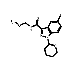 COCNC(=O)c1nn(C2CCCCO2)c2ccc(I)cc12